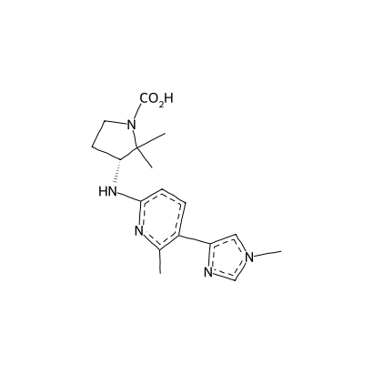 Cc1nc(N[C@@H]2CCN(C(=O)O)C2(C)C)ccc1-c1cn(C)cn1